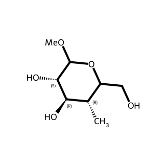 COC1OC(CO)[C@H](C)[C@@H](O)[C@@H]1O